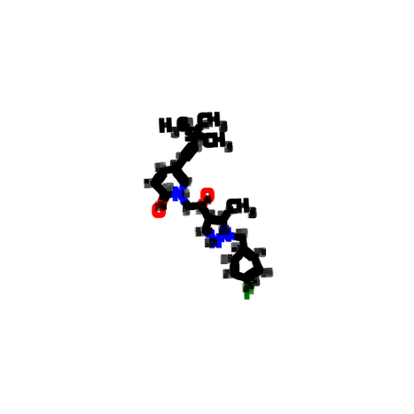 Cc1c(C(=O)Cn2cc(C#C[Si](C)(C)C)ccc2=O)cnn1Cc1ccc(F)cc1